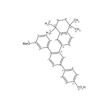 COc1cccc(-c2ccc(-c3ccc(C(=O)O)cc3)cc2-c2ccc3c(c2)C(C)(C)CCC3(C)C)c1